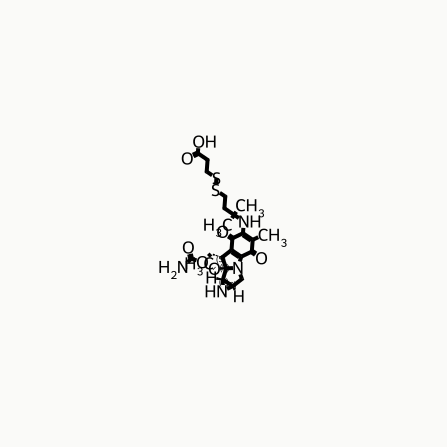 CO[C@@]12[C@H](COC(N)=O)C3=C(C(=O)C(C)=C(NC(C)(C)CCSSCCC(=O)O)C3=O)N1C[C@@H]1N[C@@H]12